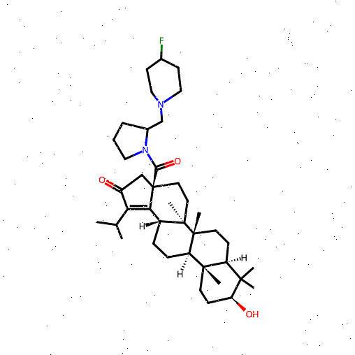 CC(C)C1=C2[C@H]3CC[C@@H]4[C@@]5(C)CC[C@H](O)C(C)(C)[C@@H]5CC[C@@]4(C)[C@]3(C)CC[C@@]2(C(=O)N2CCCC2CN2CCC(F)CC2)CC1=O